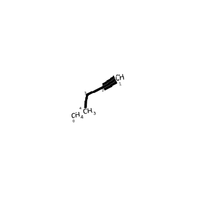 C.C#CCC